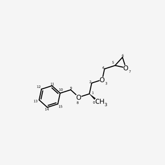 C[C@H](COCC1CO1)OCc1ccccc1